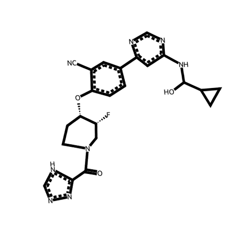 N#Cc1cc(-c2cc(NC(O)C3CC3)ncn2)ccc1O[C@H]1CCN(C(=O)c2nnc[nH]2)C[C@H]1F